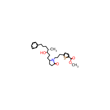 COC(=O)c1ccc(CCCN2C(=O)CCC2CC[C@@H](O)[C@@H](C)CCCc2ccccc2)s1